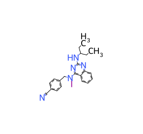 CCC(CC)Nc1nc(N(I)Cc2ccc(C#N)cc2)c2ccccc2n1